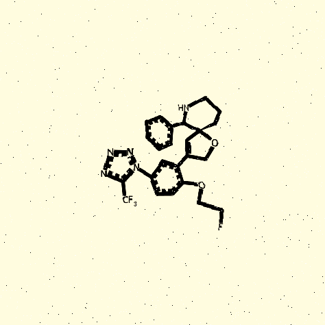 FCCOc1ccc(-n2nnnc2C(F)(F)F)cc1C1=C[C@@]2(CCCNC2c2ccccc2)OC1